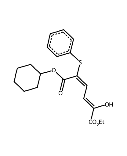 CCOC(=O)C(O)=CC=C(Sc1ccccc1)C(=O)OC1CCCCC1